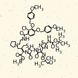 BOC(=O)C1=C(C[N+]2(CCNC(=O)c3ccc(OCc4ccc(OC)cc4)c(OCc4ccc(OC)cc4)c3Cl)CCCC2)CS[C@@H]2[C@H](NC(=O)/C(=N\OC(C)(C)C=O)c3nsc(NC(=O)OC(C)(C)C)n3)C(=O)N12